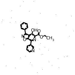 CCOC(=O)c1nc(-c2cccnc2)c2onc(-c3ccccc3)c2c1O